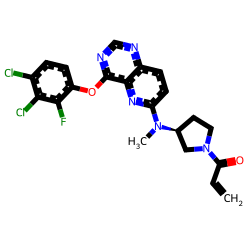 C=CC(=O)N1CC[C@H](N(C)c2ccc3ncnc(Oc4ccc(Cl)c(Cl)c4F)c3n2)C1